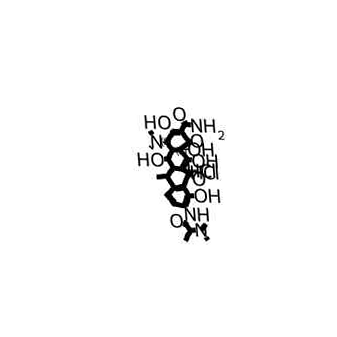 CC1c2ccc(NC(=O)C(C)N(C)C)c(O)c2C(=O)C2=C(O)[C@]3(O)C(=O)C(C(N)=O)=C(O)[C@@H](N(C)C)C3C(O)C21.Cl.Cl